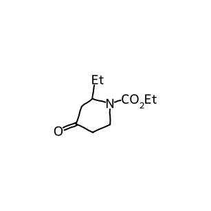 CCOC(=O)N1CCC(=O)CC1CC